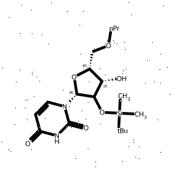 CCCOC[C@H]1O[C@@H](n2ccc(=O)[nH]c2=O)C(O[Si](C)(C)C(C)(C)C)[C@H]1O